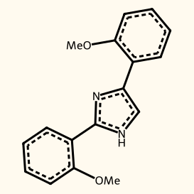 COc1ccccc1-c1c[nH]c(-c2ccccc2OC)n1